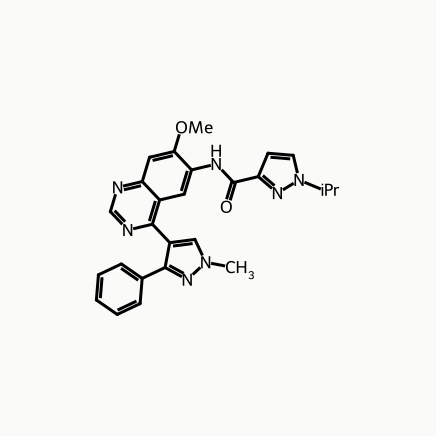 COc1cc2ncnc(-c3cn(C)nc3-c3ccccc3)c2cc1NC(=O)c1ccn(C(C)C)n1